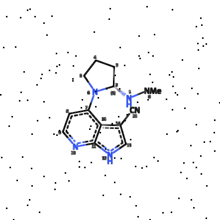 CNN[C@H]1CCCN1c1ccnc2[nH]cc(C#N)c12